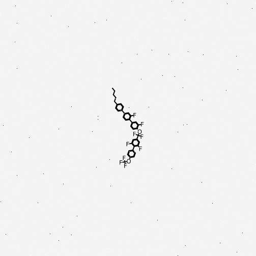 CCCCCc1ccc(-c2ccc(-c3ccc(OC(F)(F)c4cc(F)c(-c5ccc(OC(F)(F)F)cc5)c(F)c4)c(F)c3)c(F)c2)cc1